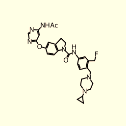 CC(=O)Nc1cc(Oc2ccc3c(c2)CCN3C(=O)Nc2ccc(CN3CCN(C4CC4)CC3)c(CF)c2)ncn1